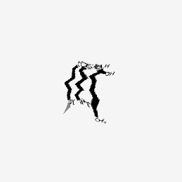 CC(C)CCCCCC(=O)O.CC(C)CCCCCC(=O)O.CCCCCCC(=O)O